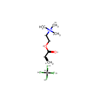 C=CC(=O)OCC[N+](C)(C)C.F[B-](F)(F)F